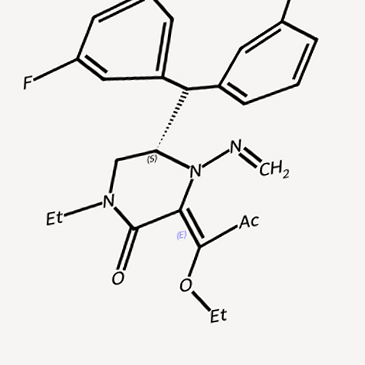 C=NN1/C(=C(/OCC)C(C)=O)C(=O)N(CC)C[C@@H]1C(c1cccc(F)c1)c1cccc(F)c1